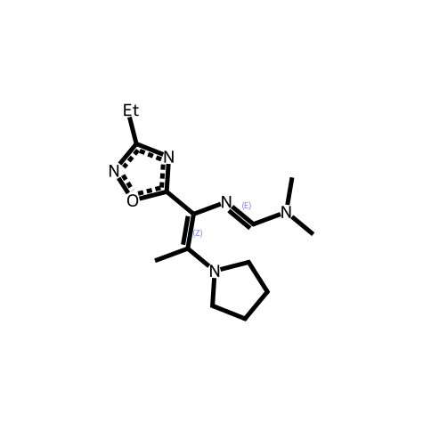 CCc1noc(C(/N=C/N(C)C)=C(\C)N2CCCC2)n1